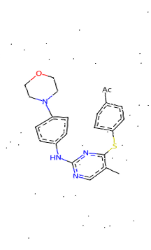 CC(=O)c1ccc(Sc2nc(Nc3ccc(N4CCOCC4)cc3)ncc2C)cc1